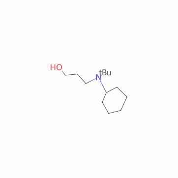 CC(C)(C)N(CCCO)C1CCCCC1